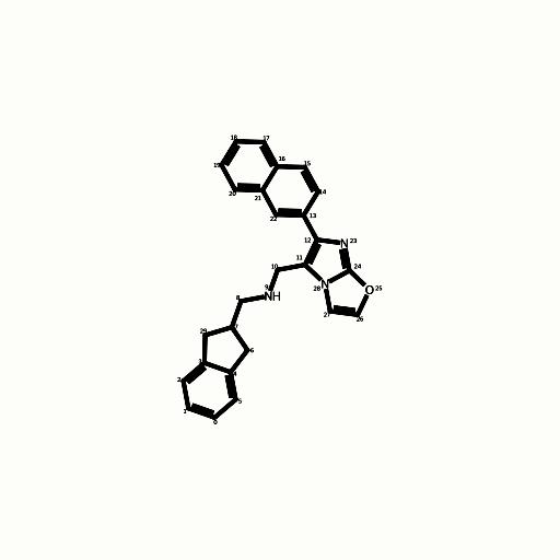 c1ccc2c(c1)CC(CNCc1c(-c3ccc4ccccc4c3)nc3occn13)C2